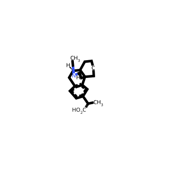 CC(C(=O)O)c1ccc2c(c1)C13CCCC[C@@H]1[C@H](C2)N(C)CC3